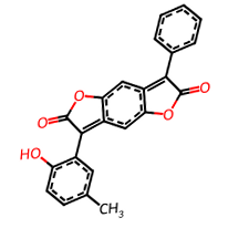 Cc1ccc(O)c(C2=c3cc4c(cc3OC2=O)=C(c2ccccc2)C(=O)O4)c1